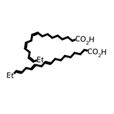 CC/C=C\C/C=C\C/C=C\CCCCCCCC(=O)O.CCC=CCC=CCC=CCCCCCCCC(=O)O